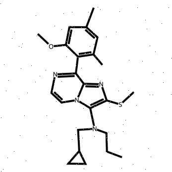 CCCN(CC1CC1)c1c(SC)nc2c(-c3c(C)cc(C)cc3OC)nccn12